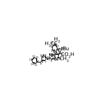 Cc1nc2cc(-n3cc(Cc4ccccc4)cn3)nn2c(N2CCC(C)(C)CC2)c1[C@H](OC(C)(C)C)C(=O)O